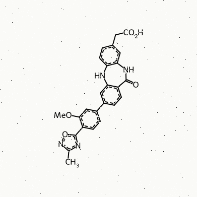 COc1cc(-c2ccc3c(c2)Nc2ccc(CC(=O)O)cc2NC3=O)ccc1-c1nc(C)no1